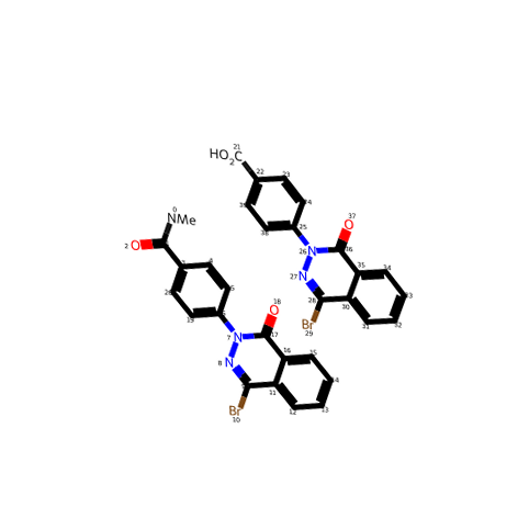 CNC(=O)c1ccc(-n2nc(Br)c3ccccc3c2=O)cc1.O=C(O)c1ccc(-n2nc(Br)c3ccccc3c2=O)cc1